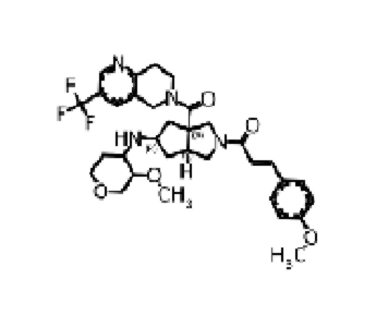 COc1ccc(C=CC(=O)N2C[C@@H]3C[C@@H](NC4CCOCC4OC)C[C@]3(C(=O)N3CCc4ncc(C(F)(F)F)cc4C3)C2)cc1